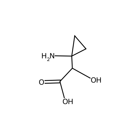 NC1(C(O)C(=O)O)CC1